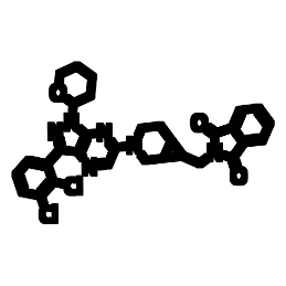 O=C1c2ccccc2C(=O)N1CC1C2CCN(c3cnc4c(-c5cccc(Cl)c5Cl)nn(C5CCCCO5)c4n3)CC21